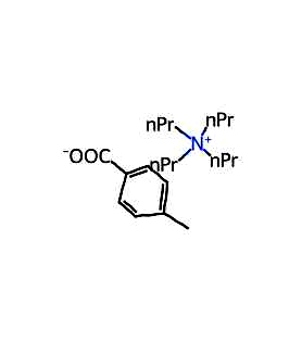 CCC[N+](CCC)(CCC)CCC.Cc1ccc(C(=O)[O-])cc1